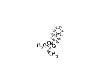 CCCC(C)OC(=O)[C@H]1CC[C@H](C2CCCCC2)CC1